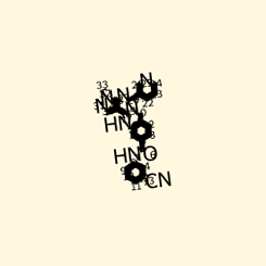 Cc1ccc(C(=O)Nc2cccc(C#N)c2)cc1Nc1nc(-c2cccnc2)nc2c1cnn2C